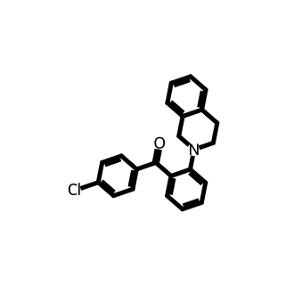 O=C(c1ccc(Cl)cc1)c1ccccc1N1CCc2ccccc2C1